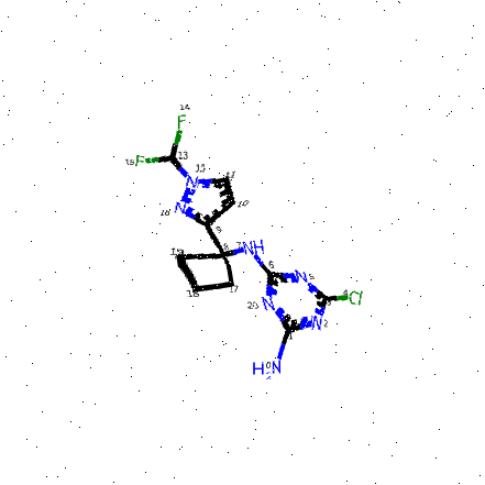 Nc1nc(Cl)nc(NC2(c3ccn(C(F)F)n3)CCC2)n1